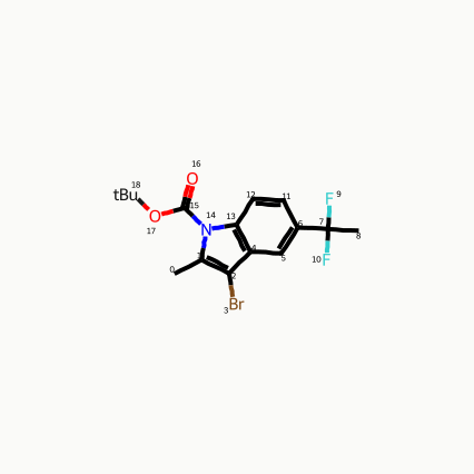 Cc1c(Br)c2cc(C(C)(F)F)ccc2n1C(=O)OC(C)(C)C